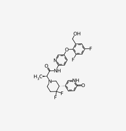 C[C@@H](C(=O)Nc1ccc(Oc2c(F)cc(F)cc2CO)cn1)N1CCC(F)(F)[C@@H](c2ccc(=O)[nH]c2)C1